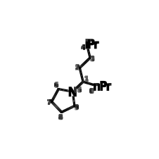 CCCC(CCC(C)C)N1CCCC1